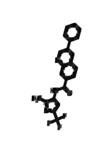 Cn1nc(C(F)(F)F)cc1NC(=O)c1ccc2cc(-c3ccccc3)cnc2c1